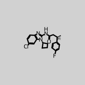 C[C@H](CC(=O)Nc1nc2ccc(Cl)cc2n1C1CCC1)c1ccc(F)cc1